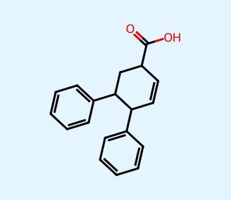 O=C(O)C1C=CC(c2ccccc2)C(c2ccccc2)C1